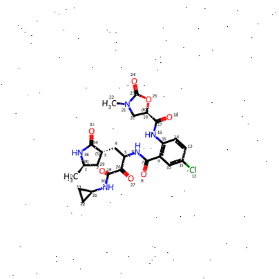 C[C@@H]1C[C@@H](CC(NC(=O)c2cc(Cl)ccc2NC(=O)[C@H]2CN(C)C(=O)O2)C(=O)C(=O)NC2CC2)C(=O)N1